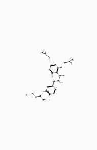 CC1c2c(OCC3CO3)cc(OCC3CO3)cc2OC(c2ccc3c(c2)OC(CCO)CO3)C1O